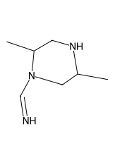 CC1CN(C=N)C(C)CN1